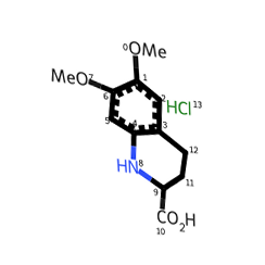 COc1cc2c(cc1OC)NC(C(=O)O)CC2.Cl